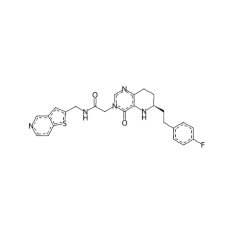 O=C(Cn1cnc2c(c1=O)N[C@H](CCc1ccc(F)cc1)CC2)NCc1cc2cnccc2s1